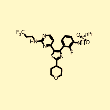 CCCS(=O)(=O)Nc1cccc(-c2nc(C3CCOCC3)sc2-c2ccnc(NCCC(F)(F)F)n2)c1F